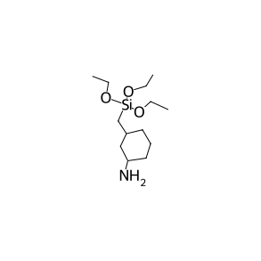 CCO[Si](CC1CCCC(N)C1)(OCC)OCC